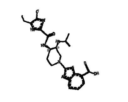 CCc1[nH]c(C(=O)N[C@@H]2CCN(c3nc4cccc(C(=O)O)c4s3)C[C@@H]2NC(C)C)nc1Cl